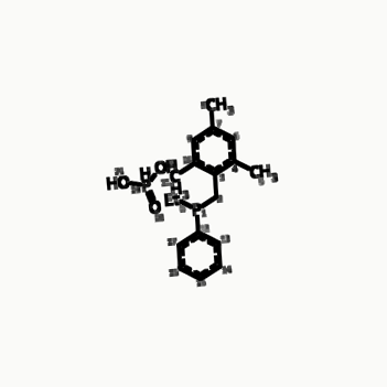 CCP(Cc1c(C)cc(C)cc1C)c1ccccc1.O=[PH](O)O